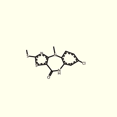 CSc1nc2c(s1)C(=O)Nc1cc(Cl)ccc1N2C